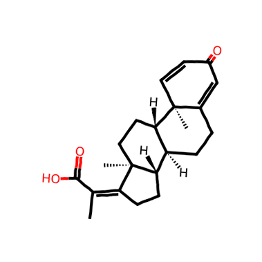 C/C(C(=O)O)=C1\CC[C@H]2[C@@H]3CCC4=CC(=O)C=C[C@]4(C)[C@H]3CC[C@]12C